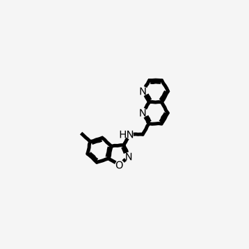 Cc1ccc2onc(NCc3ccc4cccnc4n3)c2c1